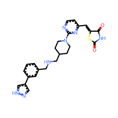 O=C1NC(=O)C(=Cc2ccnc(N3CCC(CNCc4cccc(-c5cn[nH]c5)c4)CC3)n2)S1